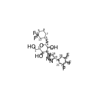 OCC1O[C@H](SC2CCCC(F)(F)C2)C(O)C(n2cc(-c3cc(F)c(F)c(F)c3)nn2)[C@H]1O